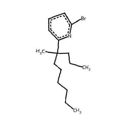 CCCCCCC(C)(CCC)c1cccc(Br)n1